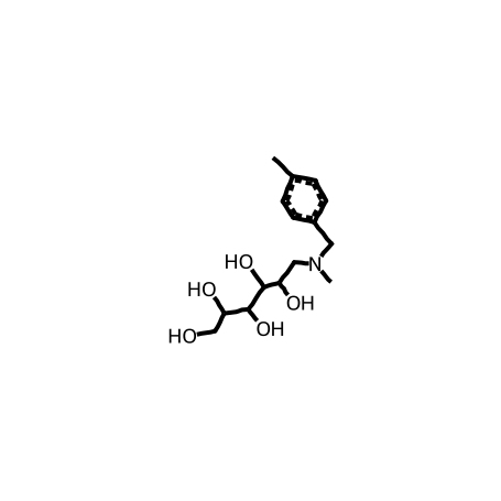 Cc1ccc(CN(C)CC(O)C(O)C(O)C(O)CO)cc1